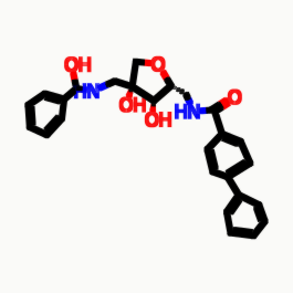 O=C(NC[C@H]1OC[C@@](O)(CNC(O)c2ccccc2)[C@@H]1O)c1ccc(-c2ccccc2)cc1